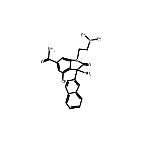 CCN(CC)CCN1C(=O)C(N)(c2ccc3ccccc3c2)c2c1cc(C(N)=O)cc2C(F)(F)F